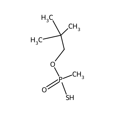 CC(C)(C)COP(C)(=O)S